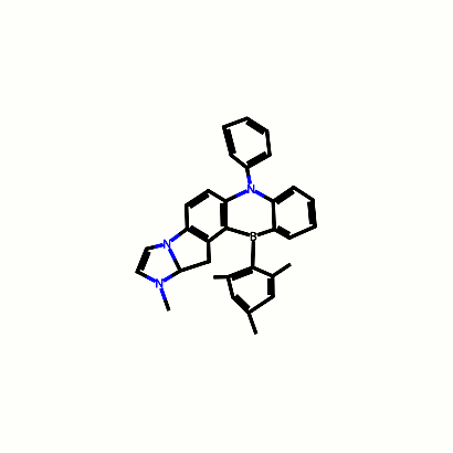 Cc1cc(C)c(B2c3ccccc3N(c3ccccc3)c3ccc4c(c32)CC2N(C)C=CN42)c(C)c1